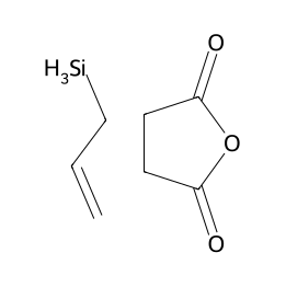 C=CC[SiH3].O=C1CCC(=O)O1